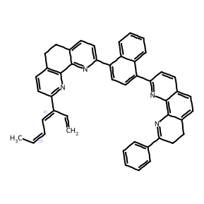 C=C/C(=C\C=C/C)c1ccc2c(n1)-c1nc(-c3ccc(-c4ccc5ccc6c(c5n4)N=C(c4ccccc4)CC6)c4ccccc34)ccc1CC2